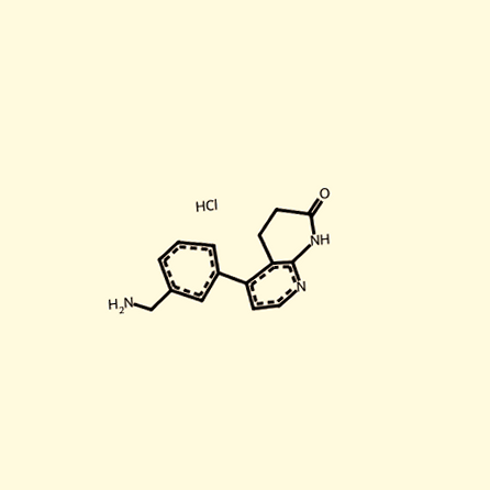 Cl.NCc1cccc(-c2ccnc3c2CCC(=O)N3)c1